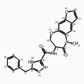 CN1C(=O)C(NC(=O)c2nnc(Cc3ccccc3)[nH]2)COc2cc3occc3cc21